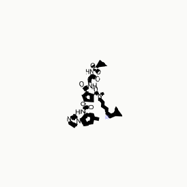 Cc1ccc(-n2ccnc2)c(NC(=O)O[C@@H]2C[C@@H](C(=O)NCC(=O)NS(=O)(=O)C3CC3)[C@H](C(=O)N(C)CCCC/C=C\C3CC3)C2)c1